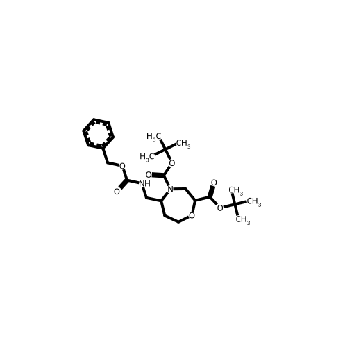 CC(C)(C)OC(=O)C1CN(C(=O)OC(C)(C)C)C(CNC(=O)OCc2ccccc2)CCO1